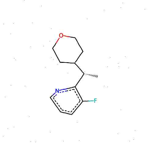 C[C@H](c1ncccc1F)C1CCOCC1